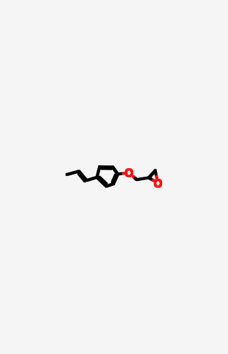 CC=Cc1ccc(OCC2CO2)cc1